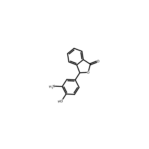 Nc1cc(C2OC(=O)c3ccccc32)ccc1O